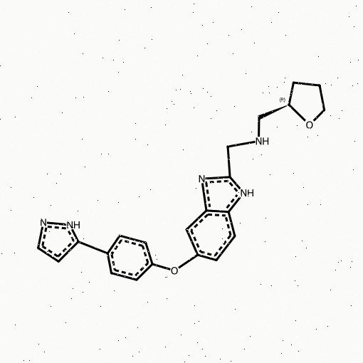 c1cc(-c2ccc(Oc3ccc4[nH]c(CNC[C@H]5CCCO5)nc4c3)cc2)[nH]n1